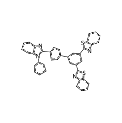 c1ccc(-n2c(-c3ccc(-c4cc(-c5nc6ccccc6s5)cc(-c5nc6ccccc6s5)c4)cc3)nc3ccccc32)cc1